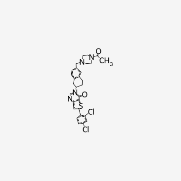 CC(=O)N1CCN(Cc2ccc3c(c2)CCC(n2cnc4cc(-c5ccc(Cl)cc5Cl)sc4c2=O)C3)CC1